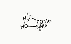 CNO.COC